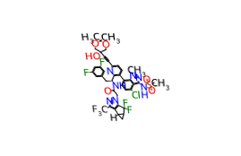 Cn1nc(NS(C)(=O)=O)c2c(Cl)ccc(-c3ccc(C#CC4(O)COC(C)(C)OC4)nc3[C@H](Cc3cc(F)cc(F)c3)NC(=O)Cn3nc(C(F)(F)F)c4c3C(F)(F)C3C[C@H]43)c21